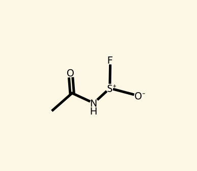 CC(=O)N[S+]([O-])F